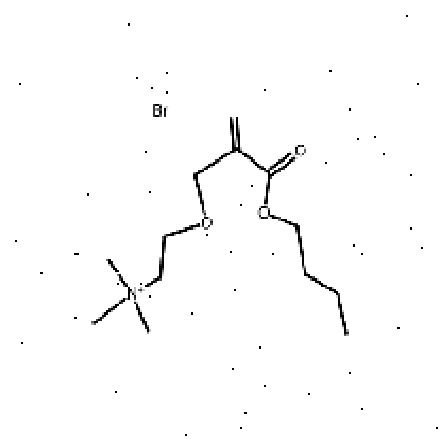 C=C(COCC[N+](C)(C)C)C(=O)OCCCC.[Br-]